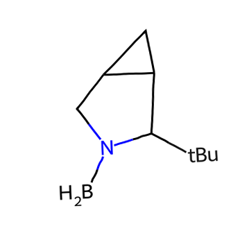 BN1CC2CC2C1C(C)(C)C